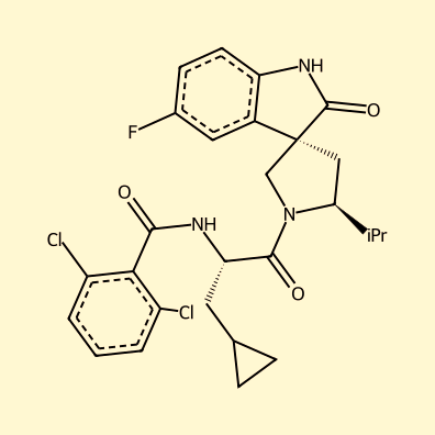 CC(C)[C@@H]1C[C@@]2(CN1C(=O)[C@H](CC1CC1)NC(=O)c1c(Cl)cccc1Cl)C(=O)Nc1ccc(F)cc12